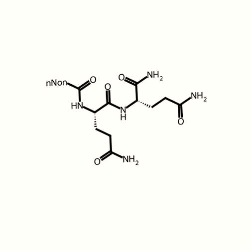 CCCCCCCCCC(=O)N[C@@H](CCC(N)=O)C(=O)N[C@@H](CCC(N)=O)C(N)=O